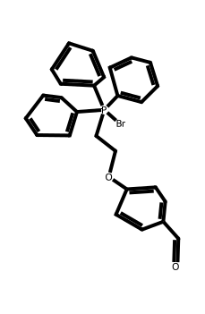 O=Cc1ccc(OCCP(Br)(c2ccccc2)(c2ccccc2)c2ccccc2)cc1